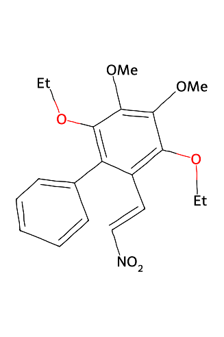 CCOc1c(C=C[N+](=O)[O-])c(-c2ccccc2)c(OCC)c(OC)c1OC